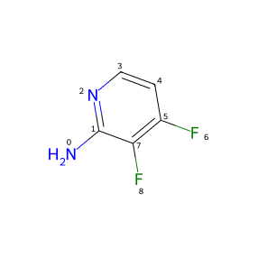 Nc1nccc(F)c1F